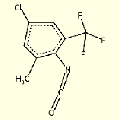 Cc1cc(Cl)cc(C(F)(F)F)c1N=C=O